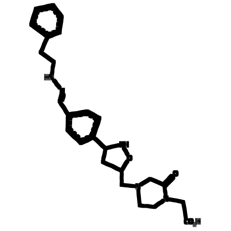 O=C(O)CN1CCN(CC2CC(c3ccc(C=NNCCc4ccccc4)cc3)NO2)CC1=O